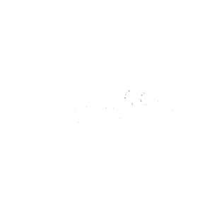 CCCCCC1CCC(C2CCC(C(=O)OCCC)C(=O)C2)CC1